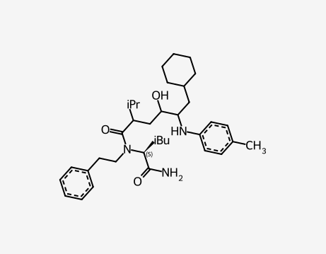 CCC(C)[C@@H](C(N)=O)N(CCc1ccccc1)C(=O)C(CC(O)C(CC1CCCCC1)Nc1ccc(C)cc1)C(C)C